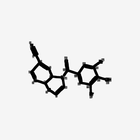 N#CC1=CC2C(N=C1)OC=CN2C(=O)c1cc(Br)c(O)c(Br)c1